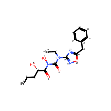 CC(C)CC[C@H](O)C(=O)N(O)C(=O)N(CC(C)(C)C)c1noc(Cc2ccccc2)n1